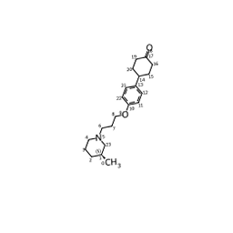 C[C@H]1CCCN(CCCOc2ccc(C3CCC(=O)CC3)cc2)C1